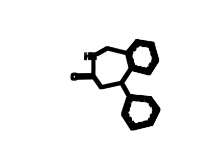 O=C1CC(c2ccccc2)c2ccccc2CN1